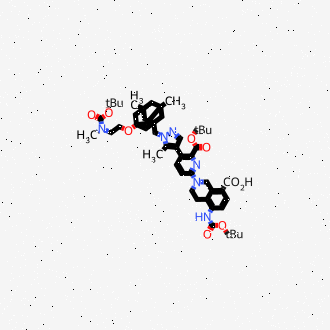 Cc1c(-c2ccc(N3CCc4c(NC(=O)OC(C)(C)C)ccc(C(=O)O)c4C3)nc2C(=O)OC(C)(C)C)cnn1CC12CC3(C)CC(C)(C1)CC(OCCN(C)C(=O)OC(C)(C)C)(C3)C2